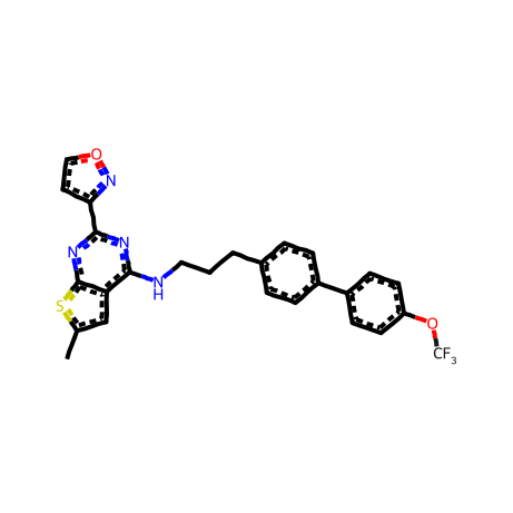 Cc1cc2c(NCCCc3ccc(-c4ccc(OC(F)(F)F)cc4)cc3)nc(-c3ccon3)nc2s1